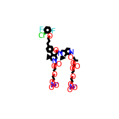 Cc1c(CN(C(=O)C2=C(c3ccc(CCCOc4c(F)ccc(F)c4Cl)cc3)C3(CC3)CN(C(=O)OCCOCCO[N+](=O)[O-])C2)C2CC2)ccnc1OCC(C)OC(=O)OCCOCCO[N+](=O)[O-]